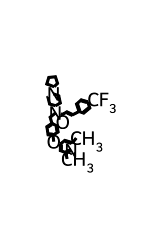 Cc1cc(Oc2ccc(CN(C(=O)/C=C/c3ccc(C(F)(F)F)cc3)C3CCN(C4CCCC4)CC3)cc2)cc(C)n1